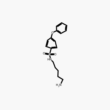 NCCCCCNS(=O)(=O)c1ccc(Oc2ccccc2)cc1